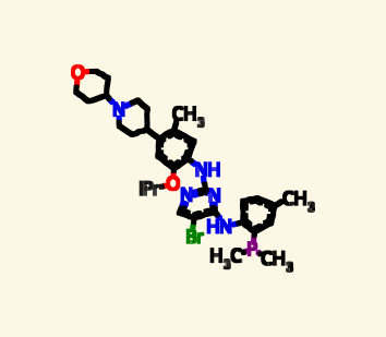 Cc1ccc(Nc2nc(Nc3cc(C)c(C4CCN(C5CCOCC5)CC4)cc3OC(C)C)ncc2Br)c(P(C)C)c1